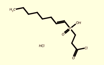 CCCCCCC=CP(=O)(O)CCC(=O)Cl.Cl